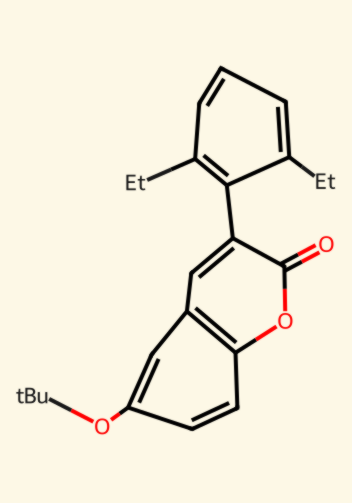 CCc1cccc(CC)c1-c1cc2cc(OC(C)(C)C)ccc2oc1=O